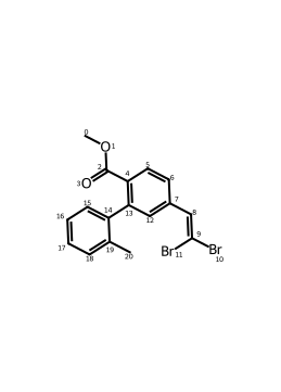 COC(=O)c1ccc(C=C(Br)Br)cc1-c1ccccc1C